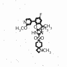 COc1cc(-c2cc(F)cc(C(C)C)c2Oc2nnc(S(=O)(=O)N3CCC4(CCN4C)CC3)[nH]2)ccn1